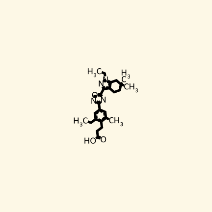 CCc1cc(-c2noc(-c3nn(CC)c4c3CCC(C)(C)C4)n2)cc(C)c1CCC(=O)O